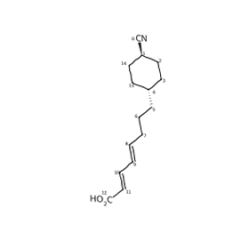 N#C[C@H]1CC[C@H](CCC/C=C/C=C/C(=O)O)CC1